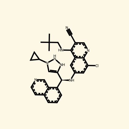 CC(C)(C)CNc1c(C#N)cnc2c(Cl)cc(N[C@H](C3=CN(C4CC4)NN3)c3cccc4ccncc34)cc12